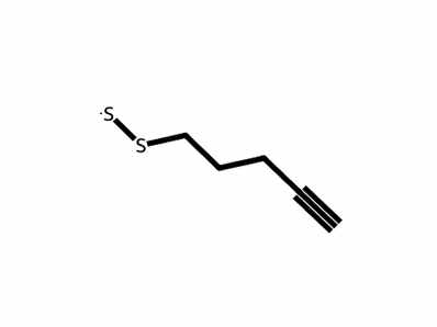 C#CCCCS[S]